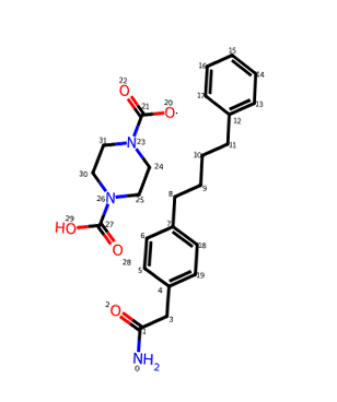 NC(=O)Cc1ccc(CCCCc2ccccc2)cc1.[O]C(=O)N1CCN(C(=O)O)CC1